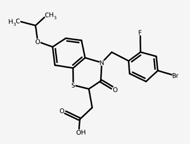 CC(C)Oc1ccc2c(c1)SC(CC(=O)O)C(=O)N2Cc1ccc(Br)cc1F